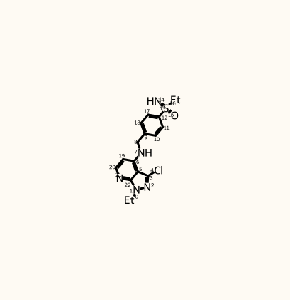 CCn1nc(Cl)c2c(NCc3ccc(S(=N)(=O)CC)cc3)ccnc21